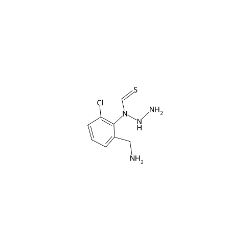 NCc1cccc(Cl)c1N(C=S)NN